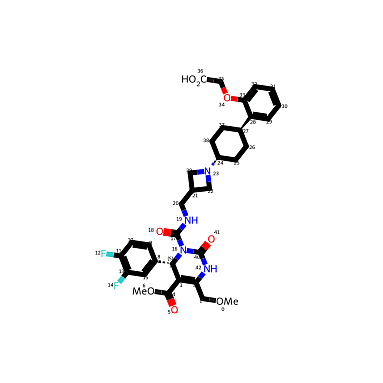 COCC1=C(C(=O)OC)[C@H](c2ccc(F)c(F)c2)N(C(=O)NCC2CN([C@H]3CC[C@H](c4ccccc4OCC(=O)O)CC3)C2)C(=O)N1